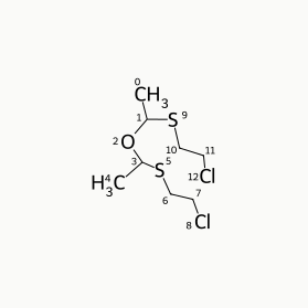 CC(OC(C)SCCCl)SCCCl